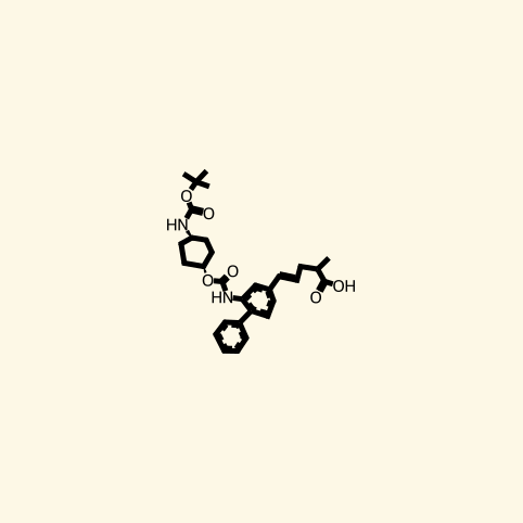 CC(CC=Cc1ccc(-c2ccccc2)c(NC(=O)O[C@H]2CC[C@H](NC(=O)OC(C)(C)C)CC2)c1)C(=O)O